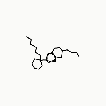 CCCCCCC1(c2ccc3c(c2)CCC(CCCC)C3)CCCCC1